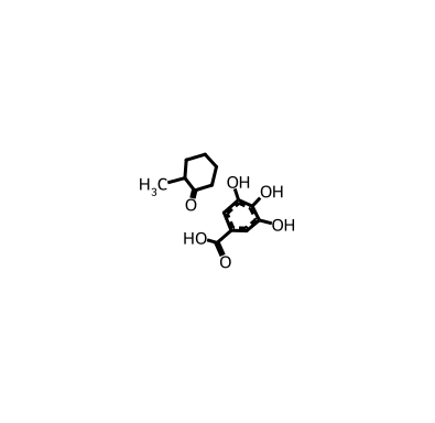 CC1CCCCC1=O.O=C(O)c1cc(O)c(O)c(O)c1